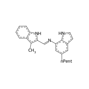 CCCCCc1cc(N=Cc2[nH]c3ccccc3c2C)c2[nH]ccc2c1